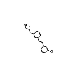 NCCCc1cccc(/C=C/c2cccc(Cl)c2)c1